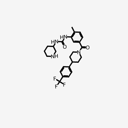 Cc1ccc(C(=O)N2CCC(c3ccc(C(F)(F)F)cc3)CC2)cc1NC(=O)NC1CCCNC1